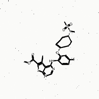 COC(=O)c1sc2ncnc(Nc3ccc(F)cc3O[C@H]3CC[C@@H](N(C)S(C)(=O)=O)CC3)c2c1C